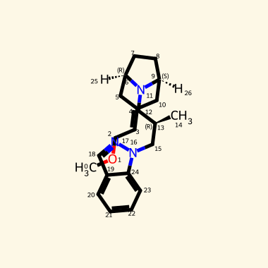 COCC=C1C[C@H]2CC[C@@H](C1)N2C[C@@H](C)Cn1ncc2ccccc21